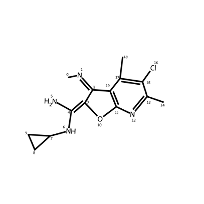 C/N=C1\C(=C(/N)NC2CC2)Oc2nc(C)c(Cl)c(C)c21